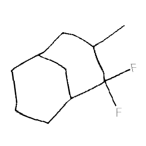 CC1CC2CCCC(C2)C1(F)F